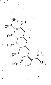 C=C(C)c1ccc(O)c2c1CC1CC3CC(O)=C(C(N)=O)C(=O)C3C(O)=C1C2=O